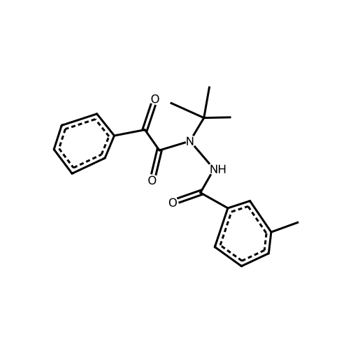 Cc1cccc(C(=O)NN(C(=O)C(=O)c2ccccc2)C(C)(C)C)c1